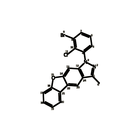 Cc1nn(-c2cccc(Br)c2Cl)c2cc3oc4ccccc4c3cc12